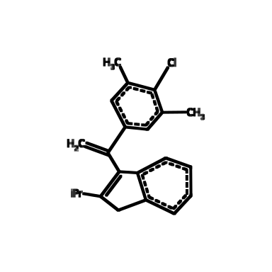 C=C(C1=C(C(C)C)Cc2ccccc21)c1cc(C)c(Cl)c(C)c1